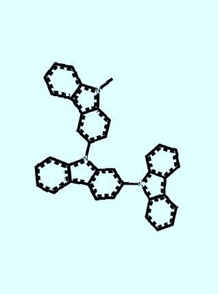 Cn1c2ccccc2c2cc(-n3c4ccccc4c4ccc(-n5c6ccccc6c6ccccc65)cc43)ccc21